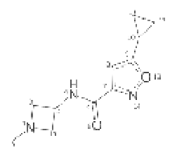 CN1CC(NC(=O)c2cc(C3CC3)on2)C1